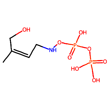 CC(=CCNOP(=O)(O)OP(=O)(O)O)CO